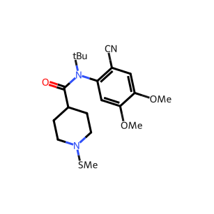 [CH2]SN1CCC(C(=O)N(c2cc(OC)c(OC)cc2C#N)C(C)(C)C)CC1